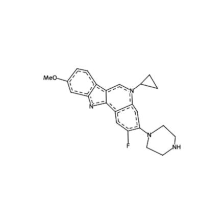 COc1ccc2c3cn(C4CC4)c4cc(N5CCNCC5)c(F)cc4c-3nc2c1